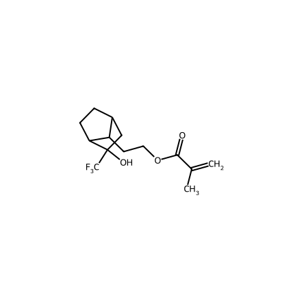 C=C(C)C(=O)OCCC1C2CCC1C(O)(C(F)(F)F)C2